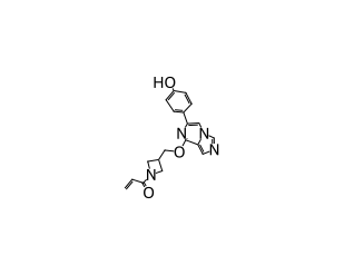 C=CC(=O)N1CC(COc2nc(-c3ccc(O)cc3)cn3cncc23)C1